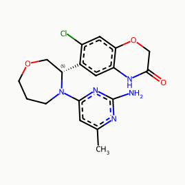 Cc1cc(N2CCCOC[C@@H]2c2cc3c(cc2Cl)OCC(=O)N3)nc(N)n1